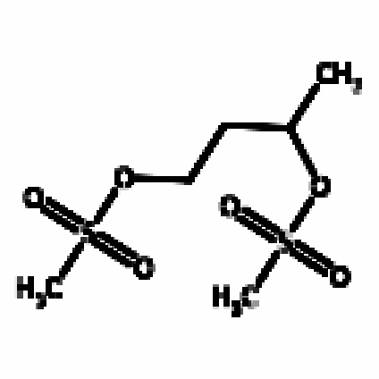 CC(CCOS(C)(=O)=O)OS(C)(=O)=O